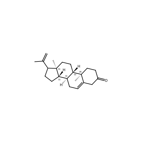 C=C(C)C1CC[C@H]2[C@@H]3CC=C4CC(=O)CC[C@]4(C)[C@H]3CC[C@]12C